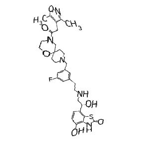 Cc1noc(C)c1CC(=O)N1CCOC2(CCN(Cc3cc(F)cc(CCNC[C@H](O)c4ccc(O)c5[nH]c(=O)sc45)c3)CC2)C1